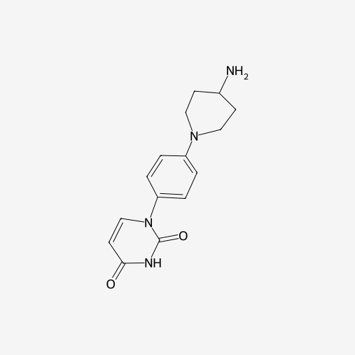 NC1CCN(c2ccc(-n3ccc(=O)[nH]c3=O)cc2)CC1